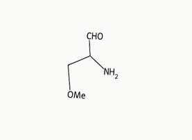 COCC(N)C=O